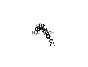 C[C@]12CC[C@](C)(N1)[C@H](F)[C@H](N(c1cnc(-c3ccc(-c4cnc(C#N)s4)cc3O)nn1)C1CC1)C2